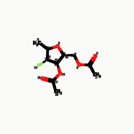 CC(=O)OC[C@H]1OC(C)[C@@H](F)[C@@H]1OC(C)=O